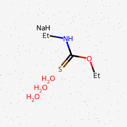 CCNC(=S)OCC.O.O.O.[NaH]